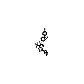 COC1(c2ccc(F)cc2)CCC(Oc2ccn3c(C4CC(F)(F)C4)nnc3c2C(F)(F)F)CC1